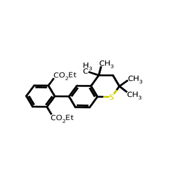 CCOC(=O)c1cccc(C(=O)OCC)c1-c1ccc2c(c1)C(C)(C)CC(C)(C)S2